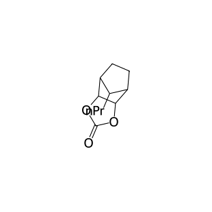 CCCC1C2CCC1C1OC(=O)OC21